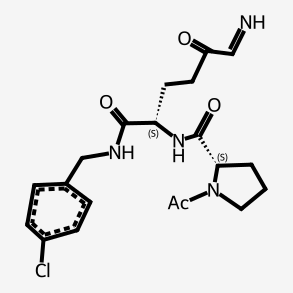 CC(=O)N1CCC[C@H]1C(=O)N[C@@H](CCC(=O)C=N)C(=O)NCc1ccc(Cl)cc1